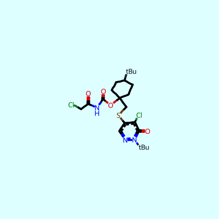 CC(C)(C)C1CCC(CSc2cnn(C(C)(C)C)c(=O)c2Cl)(OC(=O)NC(=O)CCl)CC1